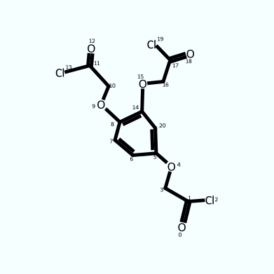 O=C(Cl)COc1ccc(OCC(=O)Cl)c(OCC(=O)Cl)c1